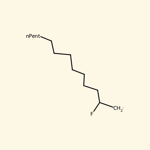 [CH2]C(F)CCCCCCCCCCCC